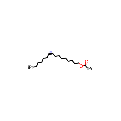 CC(C)CCCCC/C=C\CCCCCCCCOC(=O)C(C)C